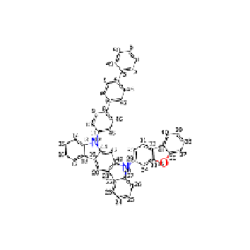 c1ccc(-c2ccc(-c3ccc(-n4c5ccccc5c5cc6c7ccccc7n(-c7ccc8c(c7)oc7ccccc78)c6cc54)cc3)cc2)cc1